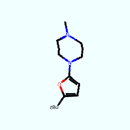 CN1CCN(c2ccc(C(C)(C)C)o2)CC1